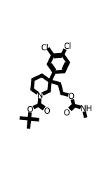 CNC(=O)OCCC1(c2ccc(Cl)c(Cl)c2)CCCN(C(=O)OC(C)(C)C)C1